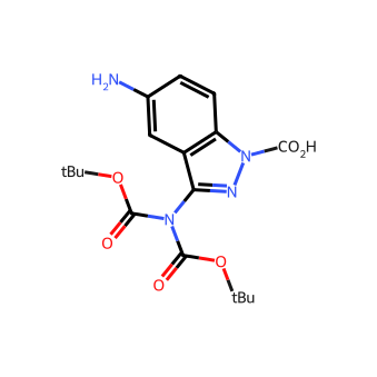 CC(C)(C)OC(=O)N(C(=O)OC(C)(C)C)c1nn(C(=O)O)c2ccc(N)cc12